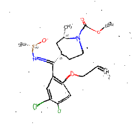 C=CCOc1cc(Cl)c(Cl)cc1C(=N[S@@+]([O-])C(C)(C)C)[C@H]1CCN(C(=O)OC(C)(C)C)[C@@H](C)C1